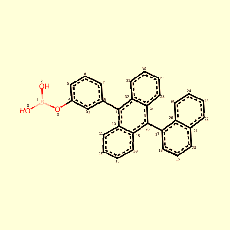 OB(O)Oc1cccc(-c2c3ccccc3c(-c3cccc4ccccc34)c3ccccc23)c1